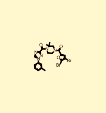 Cc1cccc(-n2cnc(C(=O)N3CCN(C(=O)c4cc(Br)c(Br)o4)CC3(C)C)n2)c1